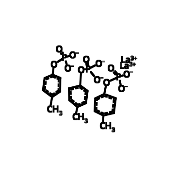 Cc1ccc(OP(=O)([O-])[O-])cc1.Cc1ccc(OP(=O)([O-])[O-])cc1.Cc1ccc(OP(=O)([O-])[O-])cc1.[La+3].[La+3]